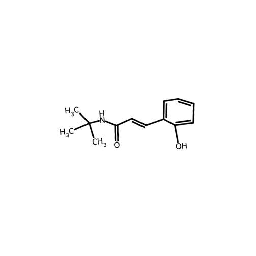 CC(C)(C)NC(=O)/C=C/c1ccccc1O